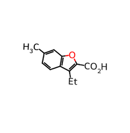 CCc1c(C(=O)O)oc2cc(C)ccc12